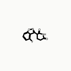 O=C1CCC(c2noc3cccc(F)c23)C(=O)N1